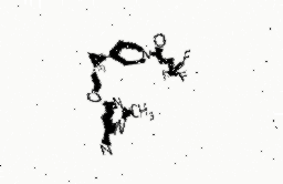 Cc1nc(C#N)cc(OCC[C@@H]2C[C@@H]2C2CCN(C(=O)CCC(F)(F)F)CC2)n1